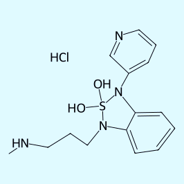 CNCCCN1c2ccccc2N(c2cccnc2)S1(O)O.Cl